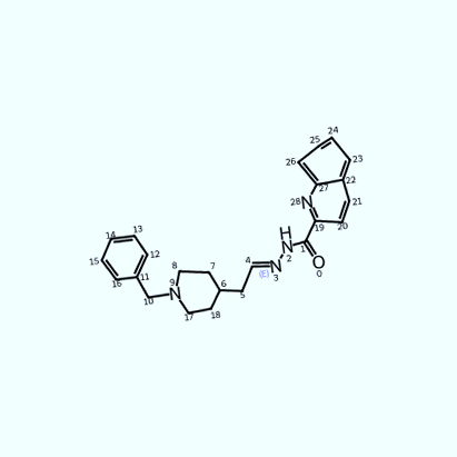 O=C(N/N=C/CC1CCN(Cc2ccccc2)CC1)c1ccc2ccccc2n1